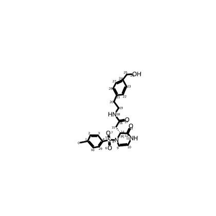 Cc1ccc(S(=O)(=O)N2C=CNC(=O)[C@H]2CC(=O)NCCc2ccc(CO)cc2)cc1